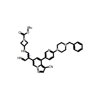 CC(C)(C)OC(=O)N1CC(N/C=C(\C=N)c2cc(-c3ccc(N4CCN(Cc5ccccc5)CC4)nc3)c3c(C#N)cnn3c2)C1